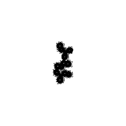 c1ccc(N(c2ccc(-c3cc4c5cccc(-c6cccc(N(c7ccccc7)c7ccc8ccccc8c7)c6)c5ccc4c4ccccc34)cc2)c2ccc3ccccc3c2)cc1